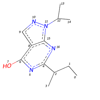 CCC(C)c1nc(O)c2cnn(C(C)C)c2n1